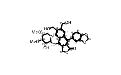 CO[C@H]1[C@H](OC)COC(Oc2c3c(c(-c4ccc5c(c4)OCO5)c4cc(CO)c(CO)cc24)C(=O)OC3)[C@@H]1O